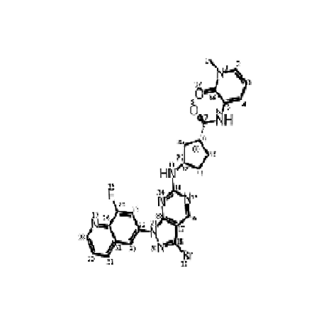 Cn1cccc(NC(=O)[C@@H]2CC[C@@H](Nc3ncc4c(Br)nn(-c5cc(F)c6ncccc6c5)c4n3)C2)c1=O